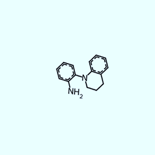 Nc1ccccc1N1CCCc2ccccc21